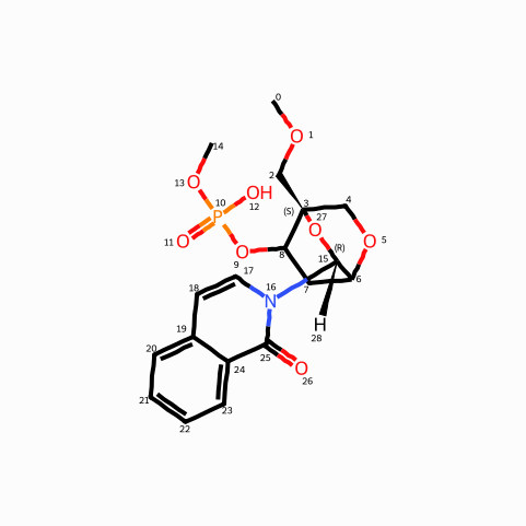 COC[C@]12COC(CC1OP(=O)(O)OC)[C@H](n1ccc3ccccc3c1=O)O2